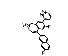 Fc1ccc2ccc(C3=CCNCc4cc(-c5cccnn5)c(F)cc43)cc2c1